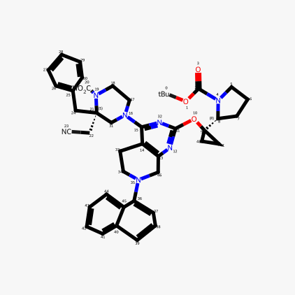 CC(C)(C)OC(=O)N1CCC[C@@H]1C1(Oc2nc3c(c(N4CCN(C(=O)O)[C@](CC#N)(Cc5ccccc5)C4)n2)CCN(c2cccc4ccccc24)C3)CC1